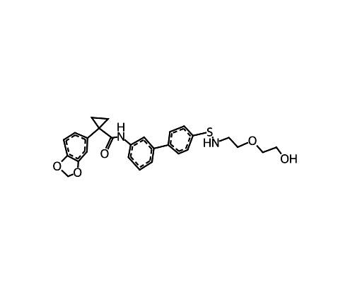 O=C(Nc1cccc(-c2ccc(SNCCOCCO)cc2)c1)C1(c2ccc3c(c2)OCO3)CC1